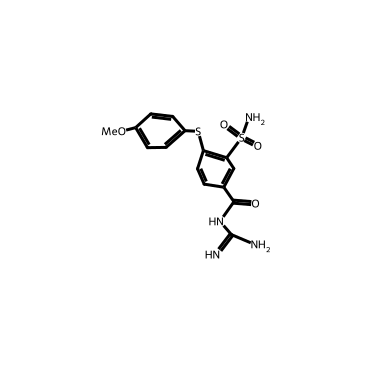 COc1ccc(Sc2ccc(C(=O)NC(=N)N)cc2S(N)(=O)=O)cc1